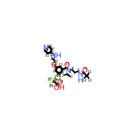 CC(C)N(CCCNC(=O)C(C)(C)C)C(=O)c1cc(Cl)cc(OCCNc2ccncc2)c1.O=C(O)C(F)(F)F